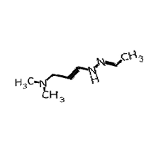 C/C=N/N/C=C/CN(C)C